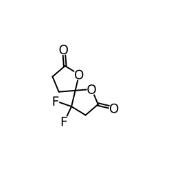 O=C1CCC2(O1)OC(=O)CC2(F)F